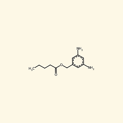 CCCCC(=O)OCc1cc(N)cc(N)c1